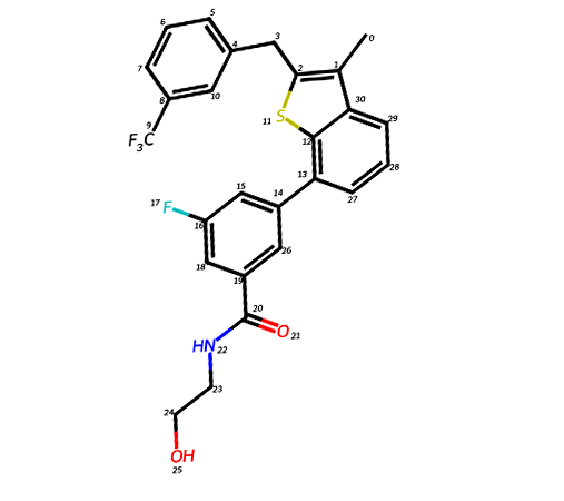 Cc1c(Cc2cccc(C(F)(F)F)c2)sc2c(-c3cc(F)cc(C(=O)NCCO)c3)cccc12